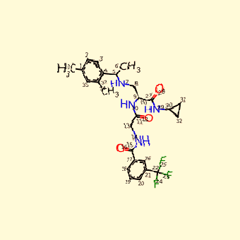 Cc1ccc(C(C)NC[C@H](NC(=O)CNC(=O)c2cccc(C(F)(F)F)c2)C(=O)NC2CC2)c(C)c1